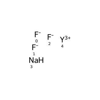 [F-].[F-].[F-].[NaH].[Y+3]